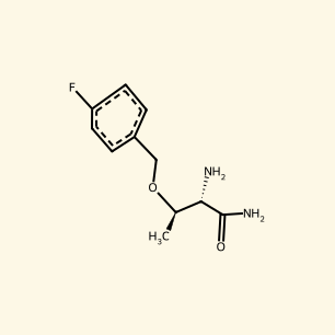 C[C@@H](OCc1ccc(F)cc1)[C@H](N)C(N)=O